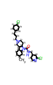 Cc1ccc2c3c(n(C(=O)NCc4ccnc(Cl)c4)c2c1)CCN(C/C=C/c1ccc(Cl)cc1)C3